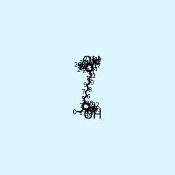 CCc1cc(CCCCCCCCc2cc(C(C)(C)C)c(O)c(C(C)(C)C)c2)cc(C(C)(C)C)c1O